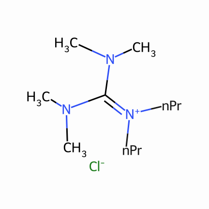 CCC[N+](CCC)=C(N(C)C)N(C)C.[Cl-]